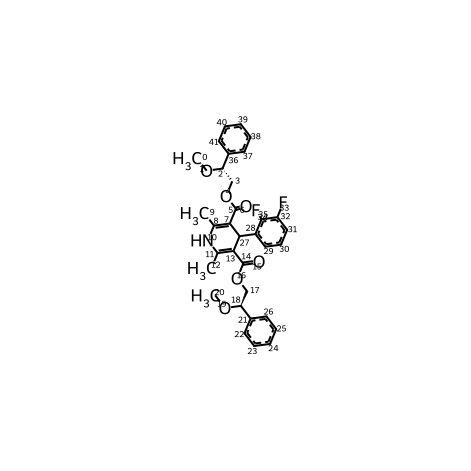 CO[C@@H](COC(=O)C1=C(C)NC(C)=C(C(=O)OC[C@H](OC)c2ccccc2)C1c1cccc(F)c1F)c1ccccc1